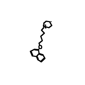 [CH]1CCN(CCCCCOc2cccc3ccccc23)CC1